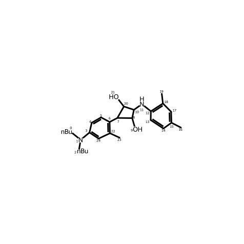 CCCCN(CCCC)c1ccc(C2C(O)C(Nc3ccc(C)cc3C)C2O)c(C)c1